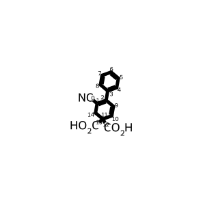 N#CC1=C(c2ccccc2)C=CC(C(=O)O)(C(=O)O)C1